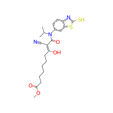 COC(=O)CCCCCCC(O)=C(C#N)C(=O)N(c1ccc2nc(S)sc2c1)C(C)C